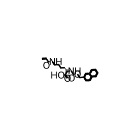 C=CC(=O)NCCCC[C@H](NC(=O)OCc1ccc2ccccc2c1)C(=O)O